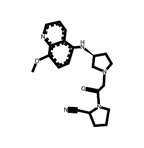 COc1ccc(N[C@H]2CCN(CC(=O)N3CCCC3C#N)C2)c2cccnc12